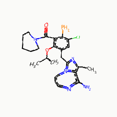 Cc1nc(Cc2cc(Cl)c(P)c(C(=O)N3CCCCC3)c2OC(C)C)n2ccnc(N)c12